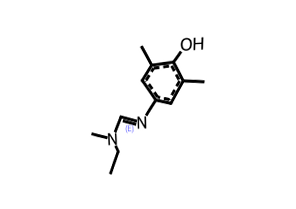 CCN(C)/C=N/c1cc(C)c(O)c(C)c1